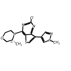 C[C@@H]1COCCN1c1nc(Cl)nc2c(-c3cnn(C)c3)csc12